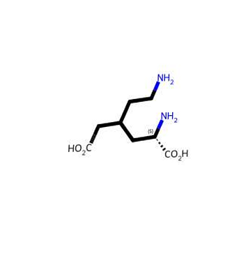 NCCC(CC(=O)O)C[C@H](N)C(=O)O